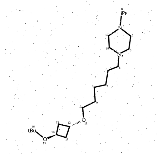 CC(C)N1CCN(CCCCCCO[C@H]2C[C@H](OC(C)(C)C)C2)CC1